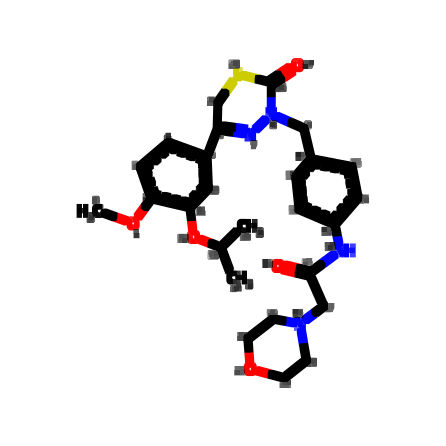 COc1ccc(C2=NN(Cc3ccc(NC(=O)CN4CCOCC4)cc3)C(=O)SC2)cc1OC(C)C